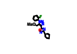 COCc1c(-c2nc(-c3ccccc3)no2)nnn1-c1ccccc1F